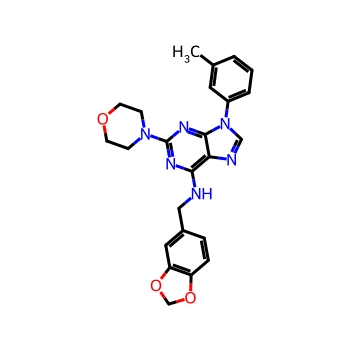 Cc1cccc(-n2cnc3c(NCc4ccc5c(c4)OCO5)nc(N4CCOCC4)nc32)c1